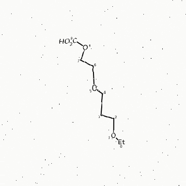 CCOCCCOCCOC(=O)O